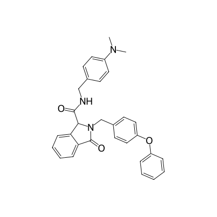 CN(C)c1ccc(CNC(=O)C2c3ccccc3C(=O)N2Cc2ccc(Oc3ccccc3)cc2)cc1